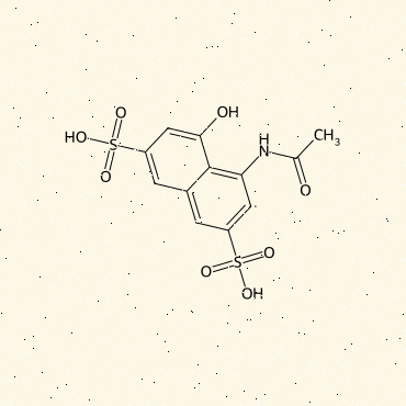 CC(=O)Nc1[c]c(S(=O)(=O)O)cc2cc(S(=O)(=O)O)cc(O)c12